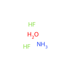 F.F.N.O